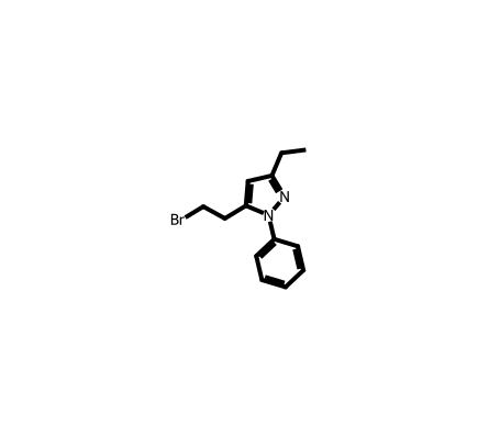 CCc1cc(CCBr)n(-c2ccccc2)n1